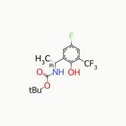 C[C@@H](NC(=O)OC(C)(C)C)c1cc(F)cc(C(F)(F)F)c1O